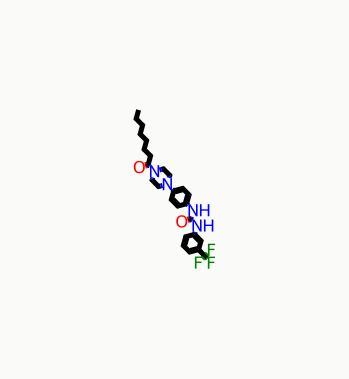 CCCCCCCC(=O)N1CCN(c2ccc(NC(=O)Nc3cccc(C(F)(F)F)c3)cc2)CC1